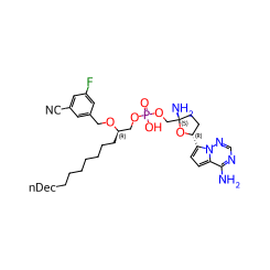 CCCCCCCCCCCCCCCCC[C@H](COP(=O)(O)OC[C@]1(N)CC[C@H](c2ccc3c(N)ncnn23)O1)OCc1cc(F)cc(C#N)c1